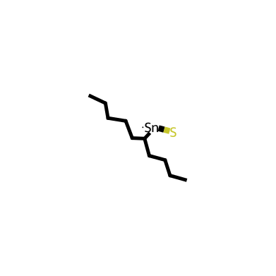 CCCCC[CH](CCCC)[Sn]=[S]